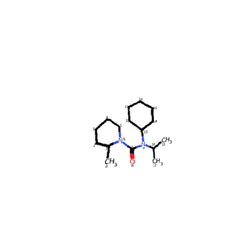 CC1CCCCN1C(=O)N(C(C)C)C1CCCCC1